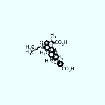 CC(=CC(=O)O)[C@@H]1CC[C@]2(C(=O)NCCN(C)C)CC[C@]3(C)[C@H](CC[C@@H]4[C@@]5(C)CC[C@H](c6ccc(C(=O)O)cc6)C(C)(C)[C@@H]5CC[C@]43C)[C@@H]12